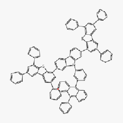 C1=CCCC(c2cc(-c3ccc4c5ccc(-c6cc(-c7ccccc7)cc7c6sc6c(-c8ccccc8)cc(-c8ccccc8)cc67)cc5n(-c5cccc(-c6c7ccccc7c(-c7ccccc7)c7ccccc67)c5)c4c3)c3sc4c(-c5ccccc5)cc(-c5ccccc5)cc4c3c2)=C1